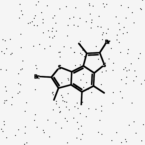 Cc1c(C)c2c(C)c(Br)sc2c2c(C)c(Br)sc12